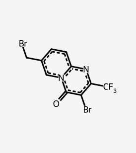 O=c1c(Br)c(C(F)(F)F)nc2ccc(CBr)cn12